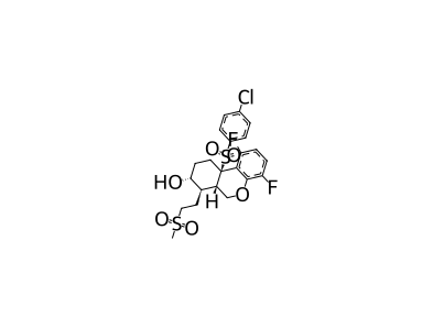 CS(=O)(=O)CC[C@H]1[C@H](O)CC[C@]2(S(=O)(=O)c3ccc(Cl)cc3)c3c(F)ccc(F)c3OC[C@H]12